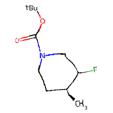 C[C@H]1CCN(C(=O)OC(C)(C)C)CC1F